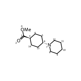 COC(=O)[C@H]1CC[C@H](N2CCCCC2)CC1